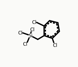 Clc1cccc(Cl)c1C[Si](Cl)(Cl)Cl